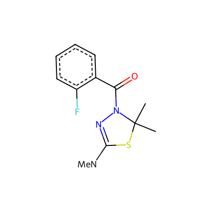 CNC1=NN(C(=O)c2ccccc2F)C(C)(C)S1